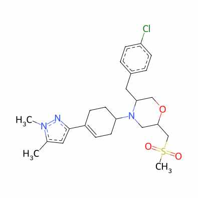 Cc1cc(C2=CCC(N3CC(CS(C)(=O)=O)OCC3Cc3ccc(Cl)cc3)CC2)nn1C